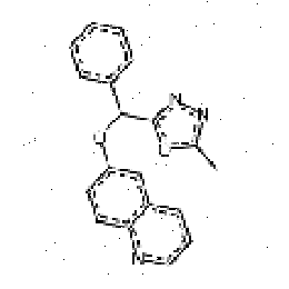 Cc1nnc(C(Oc2ccc3ncccc3c2)c2ccccc2)o1